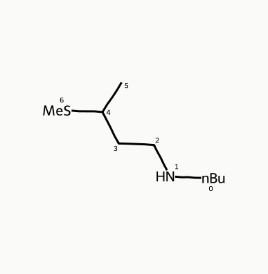 CCCCNCCC(C)SC